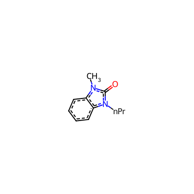 CCCn1c(=O)n(C)c2ccccc21